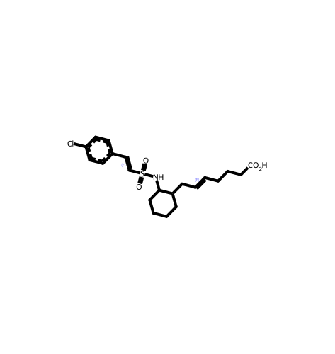 O=C(O)CCC/C=C/CC1CCCCC1NS(=O)(=O)/C=C/c1ccc(Cl)cc1